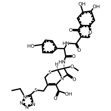 CCn1nnnc1SCC1=C(C(=O)O)N2C(=O)[C@](NC(=O)C(NC(=O)c3coc4cc(O)c(O)cc4c3=O)c3ccc(O)cc3)(OC)[C@@H]2SC1